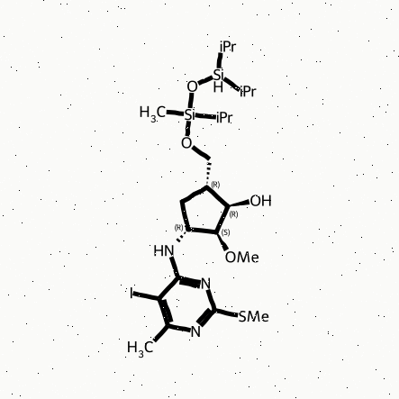 CO[C@@H]1[C@H](O)[C@@H](CO[Si](C)(O[SiH](C(C)C)C(C)C)C(C)C)C[C@H]1Nc1nc(SC)nc(C)c1I